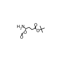 CC(C)(C)OC(=O)CC[C@H](N)OC=O